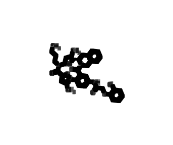 CCCCN(CCCC)C(=O)c1cc(C)n(-c2ccc(NC(=O)COc3ccccc3Cl)cc2C(=O)N2Cc3ccccc3C[C@H]2CO)n1